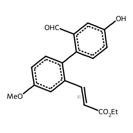 CCOC(=O)/C=C/c1cc(OC)ccc1-c1ccc(O)cc1C=O